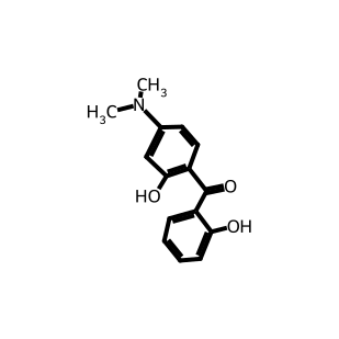 CN(C)c1ccc(C(=O)c2ccccc2O)c(O)c1